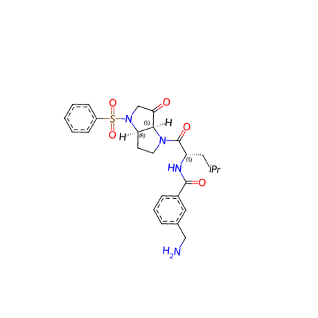 CC(C)C[C@H](NC(=O)c1cccc(CN)c1)C(=O)N1CC[C@@H]2[C@H]1C(=O)CN2S(=O)(=O)c1ccccc1